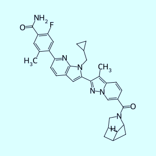 Cc1cc(C(N)=O)c(F)cc1-c1ccc2cc(-c3nn4cc(C(=O)N5CC6CC7CC5[C@H]76)ccc4c3C)n(CC3CC3)c2n1